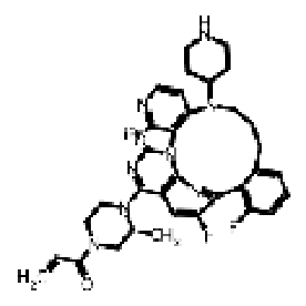 C=CC(=O)N1CCN(c2nc(=O)n3c4nc(c(F)cc24)-c2c(F)cccc2CCCN(C2CCNCC2)c2ccnc(C(C)C)c2-3)[C@@H](C)C1